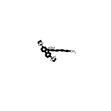 CC#CC#CC#CC#CC1(CCCCCCCC)c2cc(B3OCCO3)ccc2-c2ccc(B3OCCO3)cc21